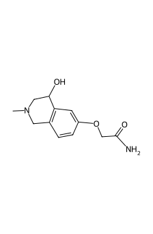 CN1Cc2ccc(OCC(N)=O)cc2C(O)C1